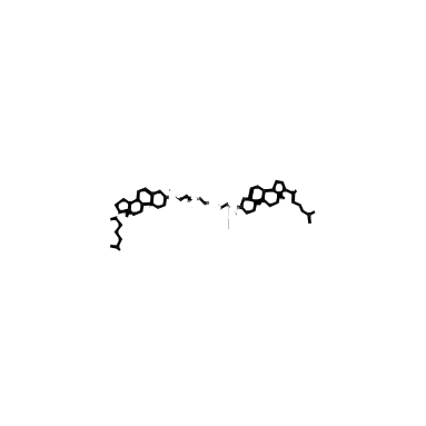 CC(C)CCCC(C)C1CCC2C3CC=C4CC(NCCOCCOCCNC5CC[C@@]6(C)C(=CCC7C8CC[C@H](C(C)CCCC(C)C)C8(C)CCC76)C5)CCC4(C)C3CCC12C